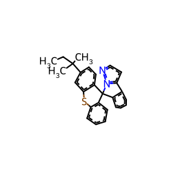 CCC(C)(C)c1ccc2c(c1)Sc1ccccc1C21c2ccccc2-c2ccnn21